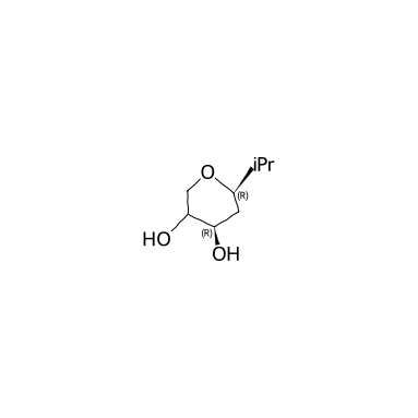 CC(C)[C@H]1C[C@@H](O)C(O)CO1